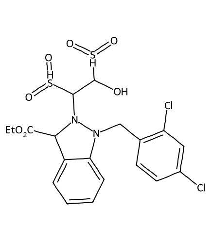 CCOC(=O)C1c2ccccc2N(Cc2ccc(Cl)cc2Cl)N1C(C(O)[SH](=O)=O)[SH](=O)=O